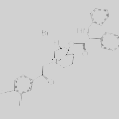 O=C(C[N+]12CCC(CC1)[C@@H](OC(=O)C(Nc1ccccc1)c1ccccc1)C2)c1ccc(F)c(F)c1.[Br-]